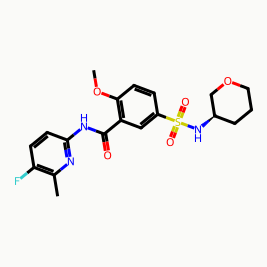 COc1ccc(S(=O)(=O)N[C@@H]2CCCOC2)cc1C(=O)Nc1ccc(F)c(C)n1